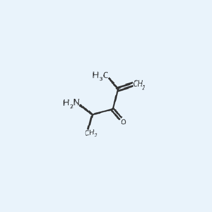 C=C(C)C(=O)C(C)N